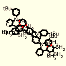 Bc1c(B)c(B)c(-c2ccccc2N(c2cccc(C(C)(C)C)c2)c2ccc3c4cc5c(cc4n4c6ccc(C(C)(C)C)cc6c2c34)c2ccc(N(c3cccc(C(C)(C)C)c3)c3ccccc3-c3c(B)c(B)c(B)c(B)c3B)c3c4cc(C(C)(C)C)ccc4n5c23)c(B)c1B